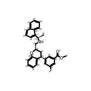 COC(=O)c1cc(F)cc([C@@H]2C[C@H](CN[C@H](C)c3cccc4ccccc34)Oc3ccccc32)c1